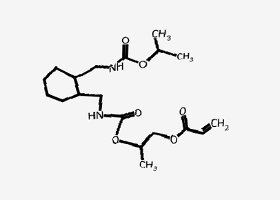 C=CC(=O)OCC(C)OC(=O)NCC1CCCCC1CNC(=O)OC(C)C